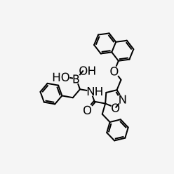 O=C(NC(Cc1ccccc1)B(O)O)C1(Cc2ccccc2)CC(COc2cccc3ccccc23)=NO1